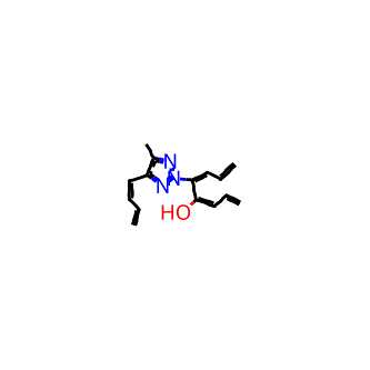 C=C/C=C\c1nn(C(=C/C=C)/C(O)=C\C=C)nc1C